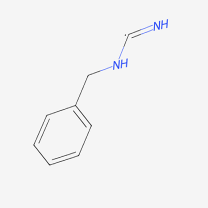 N=[C]NCc1ccccc1